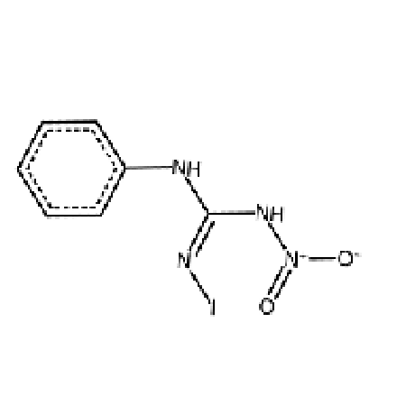 O=[N+]([O-])NC(=NI)Nc1ccccc1